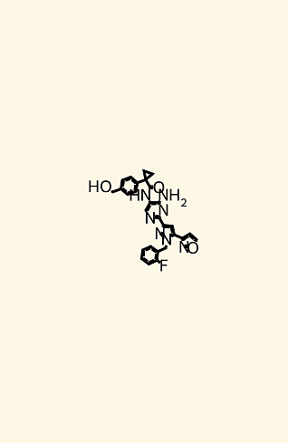 Nc1nc(-c2cc(-c3ccon3)n(Cc3ccccc3F)n2)ncc1NC(=O)C1(c2ccc(CO)cc2)CC1